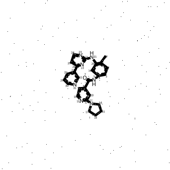 Cc1ccc(NC(=O)c2ccnc(N3CCCC3)c2)cc1Nc1nccc(-c2cccnc2)n1